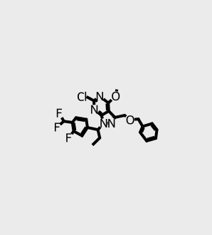 CCC(c1ccc(C(F)F)c(F)c1)n1nc(COCc2ccccc2)c2c(OC)nc(Cl)nc21